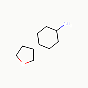 C1CCOC1.NC1CCCCC1